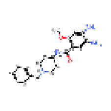 COc1cc(N)c(N)cc1C(=O)NC1CCN(CC2=CCC=CC2)CC1